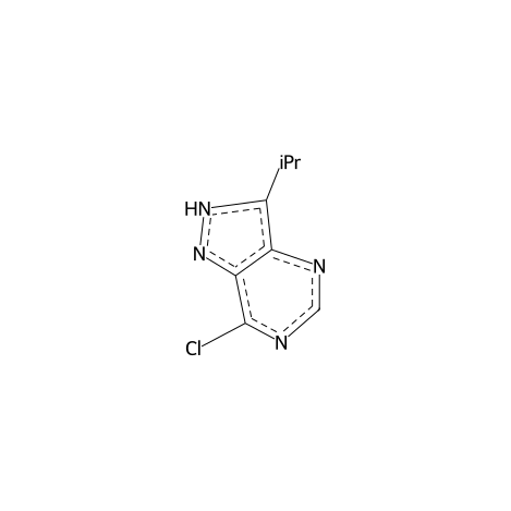 CC(C)c1[nH]nc2c(Cl)ncnc12